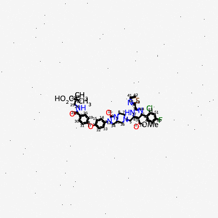 COC(=O)C1=C(CN2CCN3C(=O)N(c4ccc(Oc5ccc(C(=O)NCC(C)(C)C(=O)O)cc5)cc4)CC3C2)NC(c2nccs2)=NC1c1ccc(F)cc1Cl